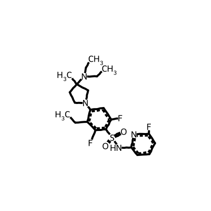 CCc1c(N2CCC(C)(N(CC)CC)C2)cc(F)c(S(=O)(=O)Nc2cccc(F)n2)c1F